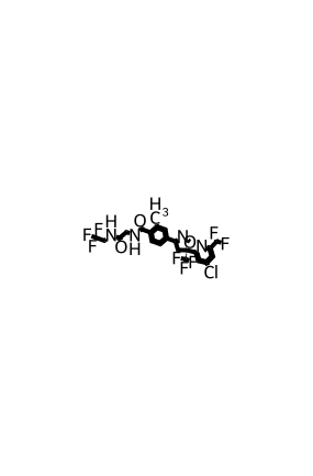 Cc1cc(C2=NO[C@](c3cc(Cl)cc(C(F)F)n3)(C(F)(F)F)C2)ccc1C(=O)NCC(=O)NCC(F)(F)F